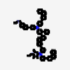 C=C/C=C\C(=C)C(=C)/C(=C\C=C)N(c1cccc(C2=Cc3c(ccc4ccccc34)CC2)c1)c1cccc(-c2ccc3ccc4c(C5CC=C(N(c6ccc(-c7ccc8ccc(/C=C\C=C)cc8c7)cc6)c6ccc(-c7ccc8ccc9ccccc9c8c7)cc6)C=C5c5ccccc5)cccc4c3c2)c1